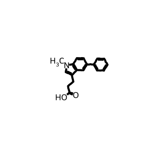 Cn1cc(CCC(=O)O)c2cc(-c3ccccc3)ccc21